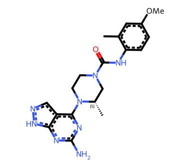 COc1ccc(NC(=O)N2CCN(c3nc(N)nc4[nH]ncc34)[C@@H](C)C2)c(C)c1